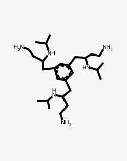 CC(C)NC(CCN)Cc1cc(CC(CCN)NC(C)C)cc(CC(CCN)NC(C)C)c1